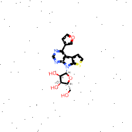 OC[C@H]1O[C@@H](n2c3ncnc(-c4ccoc4)c3c3ccsc32)[C@H](O)[C@@H]1O